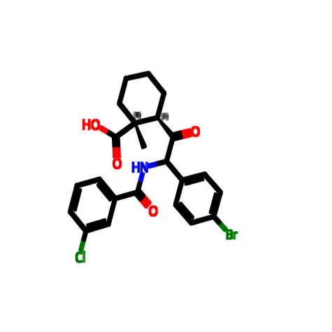 C[C@@]1(C(=O)O)CCCC[C@H]1C(=O)C(NC(=O)c1cccc(Cl)c1)c1ccc(Br)cc1